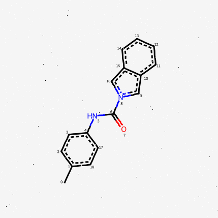 Cc1ccc(NC(=O)n2cc3ccccc3c2)cc1